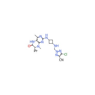 Cc1nc(NC2CC(NCn3nc(Cl)c(C#N)n3)C2)nc2c1NC(=O)C(C(C)C)N2C